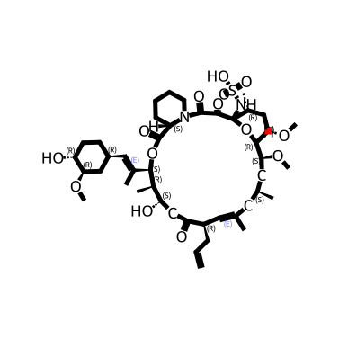 C=CC[C@@H]1/C=C(\C)C[C@H](C)C[C@H](OC)[C@H]2OC(NS(=O)(=O)O)(C(=O)C(=O)N3CCCC[C@H]3C(=O)O[C@H](/C(C)=C/[C@@H]3CC[C@@H](O)[C@H](OC)C3)[C@H](C)[C@@H](O)CC1=O)[C@H](C)C[C@@H]2OC